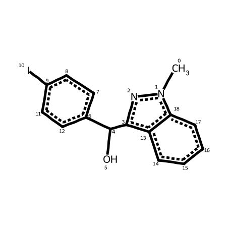 Cn1nc(C(O)c2ccc(I)cc2)c2ccccc21